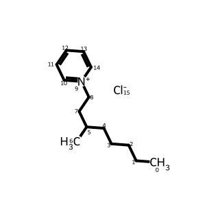 CCCCCC(C)CC[n+]1ccccc1.[Cl-]